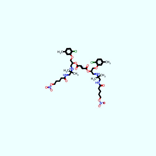 Cc1ccc(Cl)c(OCC(CNC(C)(C)CNC(=O)CCCCO[N+](=O)[O-])OC(=O)/C=C/C(=O)OC(CNC(C)(C)CNC(=O)CCCCO[N+](=O)[O-])COc2cc(C)ccc2Cl)c1